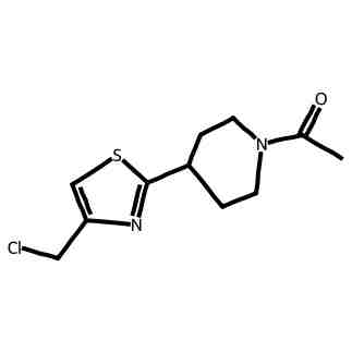 CC(=O)N1CCC(c2nc(CCl)cs2)CC1